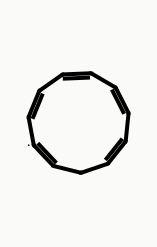 [C]1=C/C\C=C/C=C\C=C/C=C\1